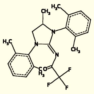 Cc1cccc(C)c1N1CC(C)N(c2c(C)cccc2C)C1=NC(=O)C(F)(F)F